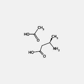 CC(=O)O.C[C@@H](N)CC(=O)O